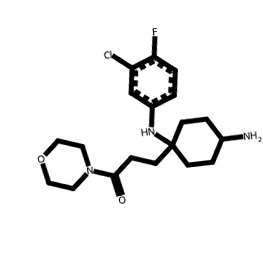 NC1CCC(CCC(=O)N2CCOCC2)(Nc2ccc(F)c(Cl)c2)CC1